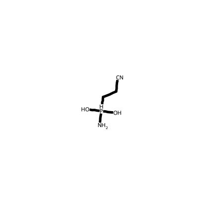 N#CCC[PH](N)(O)O